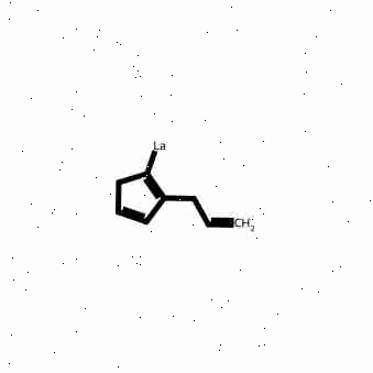 C=CCC1=[C]([La])CC=C1